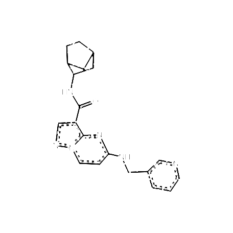 O=C(NC1CC2CCC1C2)c1cnn2ccc(NCc3cccnc3)nc12